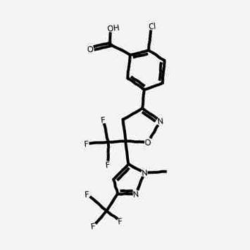 Cn1nc(C(F)(F)F)cc1C1(C(F)(F)F)CC(c2ccc(Cl)c(C(=O)O)c2)=NO1